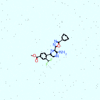 COC(=O)c1ccc(-c2cnc(N)c(-c3nnc(-c4ccccc4)o3)n2)c(C(F)F)c1